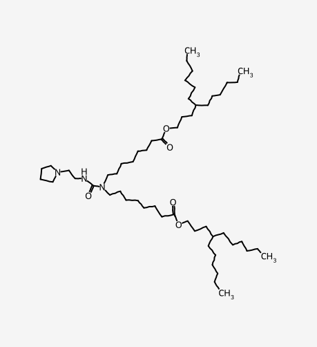 CCCCCCC(CCCCCC)CCCOC(=O)CCCCCCCN(CCCCCCCC(=O)OCCCC(CCCCCC)CCCCCC)C(=O)NCCN1CCCC1